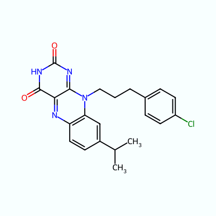 CC(C)c1ccc2nc3c(=O)[nH]c(=O)nc-3n(CCCc3ccc(Cl)cc3)c2c1